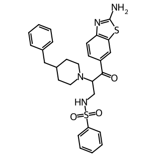 Nc1nc2ccc(C(=O)C(CNS(=O)(=O)c3ccccc3)N3CCC(Cc4ccccc4)CC3)cc2s1